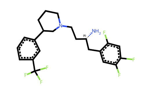 N[C@@H](CCN1CCCC(c2cccc(C(F)(F)F)c2)C1)Cc1cc(F)c(F)cc1F